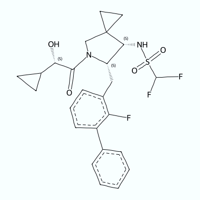 O=C([C@@H](O)C1CC1)N1CC2(CC2)[C@H](NS(=O)(=O)C(F)F)[C@@H]1Cc1cccc(-c2ccccc2)c1F